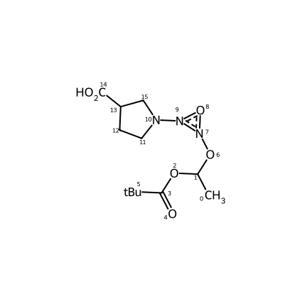 CC(OC(=O)C(C)(C)C)On1on1N1CCC(C(=O)O)C1